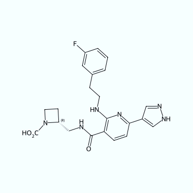 O=C(NC[C@H]1CCN1C(=O)O)c1ccc(-c2cn[nH]c2)nc1NCCc1cccc(F)c1